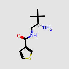 CC(C)(C)[C@H](N)CNC(=O)c1ccsc1